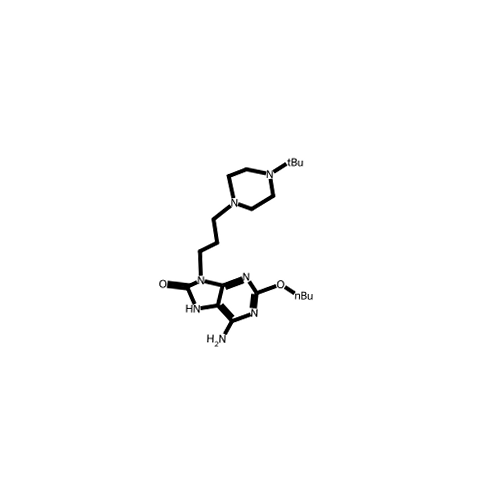 CCCCOc1nc(N)c2[nH]c(=O)n(CCCN3CCN(C(C)(C)C)CC3)c2n1